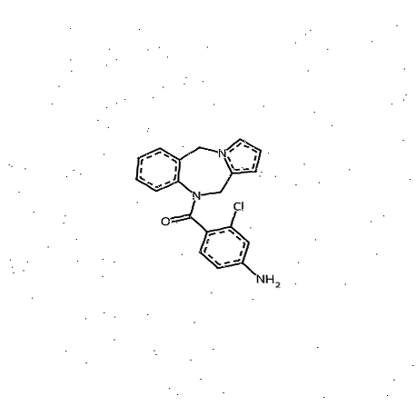 Nc1ccc(C(=O)N2Cc3cccn3Cc3ccccc32)c(Cl)c1